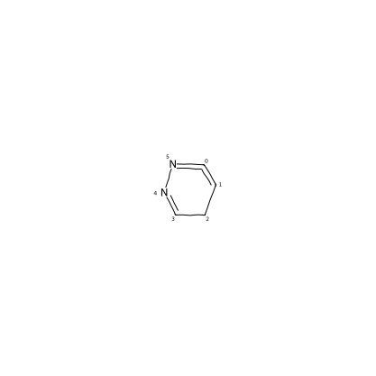 C1=CCC=NN=1